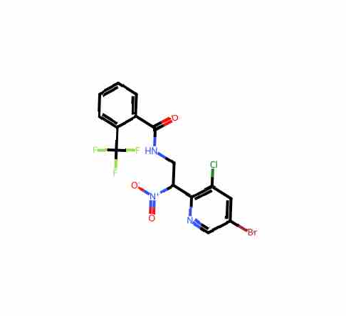 O=C(NCC(c1ncc(Br)cc1Cl)[N+](=O)[O-])c1ccccc1C(F)(F)F